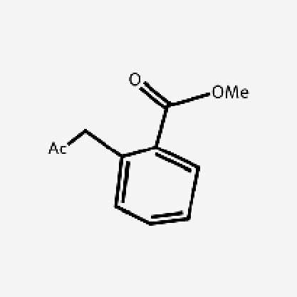 COC(=O)c1ccccc1CC(C)=O